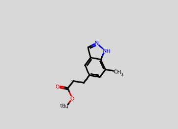 Cc1cc(C[CH]C(=O)OC(C)(C)C)cc2cn[nH]c12